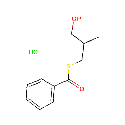 CC(CO)CSC(=O)c1ccccc1.Cl